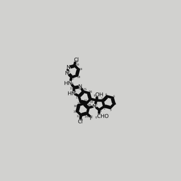 O=CC1c2ccccc2C(O)(c2ccc3[nH]c(Nc4ccc(Cl)nn4)nc3c2)N1c1cccc(Cl)c1F